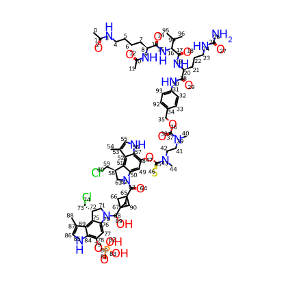 CC(=O)NCCCC[C@H](NC(C)=O)C(=O)N[C@H](C(=O)N[C@@H](CCCNC(N)=O)C(=O)Nc1ccc(COC(=O)N(C)CCN(C)C(=S)Oc2cc3c(c4c(C)c[nH]c24)[C@H](CCl)CN3C(=O)C23CC(C(O)N4C[C@@H](CCl)c5c4cc(OP(=O)(O)O)c4[nH]cc(C)c54)(C2)C3)cc1)C(C)C